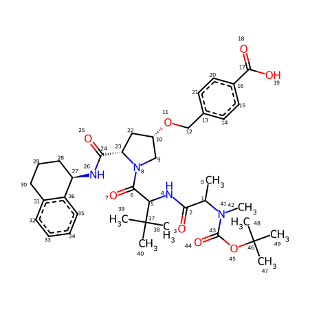 CC(C(=O)NC(C(=O)N1C[C@@H](OCc2ccc(C(=O)O)cc2)C[C@H]1C(=O)N[C@@H]1CCCc2ccccc21)C(C)(C)C)N(C)C(=O)OC(C)(C)C